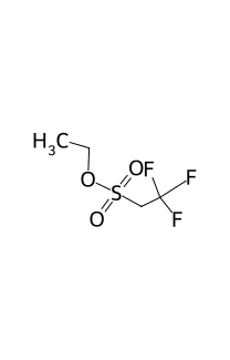 CCOS(=O)(=O)CC(F)(F)F